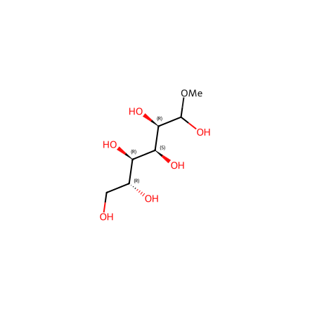 COC(O)[C@H](O)[C@@H](O)[C@H](O)[C@H](O)CO